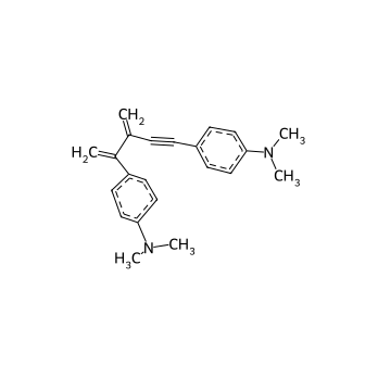 C=C(C#Cc1ccc(N(C)C)cc1)C(=C)c1ccc(N(C)C)cc1